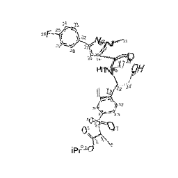 CC(C)OC(=O)C(C)S(=O)(=O)c1ccc([C@@H](CO)NC(=O)c2cc(-c3ccc(F)cc3)nn2C)cc1